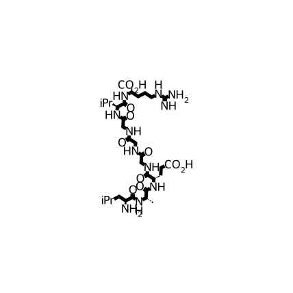 CC(C)C[C@H](N)C(=O)N[C@@H](C)C(=O)N[C@@H](CCC(=O)O)C(=O)NCC(=O)NCC(=O)NCC(=O)N[C@H](C(=O)N[C@@H](CCCNC(=N)N)C(=O)O)C(C)C